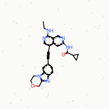 CCNc1ncc(C#Cc2ccc3nc4n(c3c2)CCOC4)c2cc(NC(=O)C3CC3)ncc12